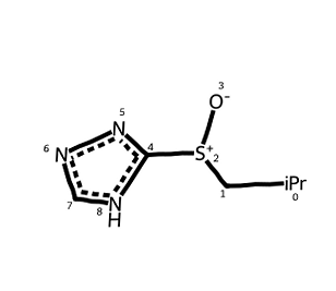 CC(C)C[S+]([O-])c1nnc[nH]1